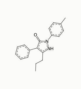 CCCc1[nH]n(-c2ccc(C)cc2)c(=O)c1-c1ccccc1